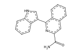 NC(=O)c1cc2ccccc2c(-c2c[nH]c3ccccc23)n1